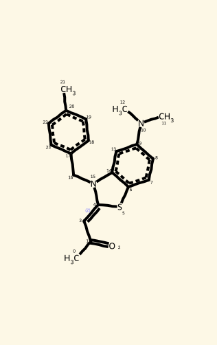 CC(=O)/C=C1\Sc2ccc(N(C)C)cc2N1Cc1ccc(C)cc1